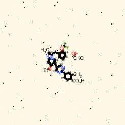 CCOc1cc2nc(C)c(Cc3ccccc3OC(F)F)n2cc1-c1cnc(C2CCC(C(=O)O)C(C)C2)nc1.O=CO